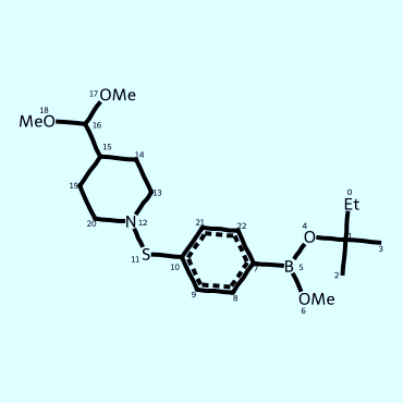 CCC(C)(C)OB(OC)c1ccc(SN2CCC(C(OC)OC)CC2)cc1